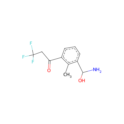 Cc1c(C(=O)CC(F)(F)F)cccc1C(N)O